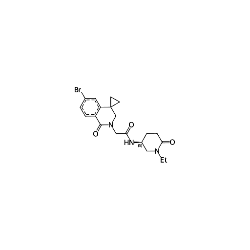 CCN1C[C@@H](NC(=O)CN2CC3(CC3)c3cc(Br)ccc3C2=O)CCC1=O